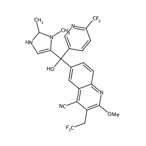 COc1nc2ccc(C(O)(C3=CNC(C)N3C)c3ccc(C(F)(F)F)nc3)cc2c(C#N)c1CC(F)(F)F